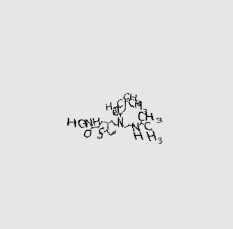 CC(C)NCCN(C(=O)CC(C)(C)C)c1ccc2c(c1)CC(C(=O)NO)S2